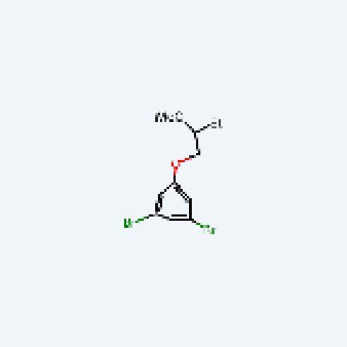 CCC(COc1cc(Br)cc(Br)c1)OC